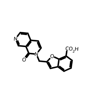 O=C(O)c1cccc2cc(Cn3ccc4ccncc4c3=O)oc12